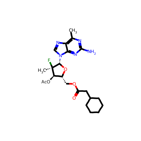 CC(=O)O[C@@H]1[C@@H](COC(=O)CC2CCCCC2)O[C@@H](n2cnc3c(C)nc(N)nc32)[C@]1(C)F